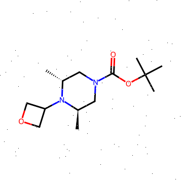 C[C@@H]1CN(C(=O)OC(C)(C)C)C[C@@H](C)N1C1COC1